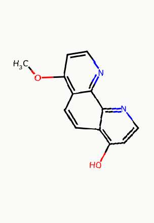 COc1ccnc2c1ccc1c(O)ccnc12